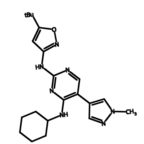 Cn1cc(-c2cnc(Nc3cc(C(C)(C)C)on3)nc2NC2CCCCC2)cn1